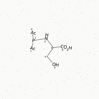 CC(=O)P(NC(CO)C(=O)O)C(C)=O